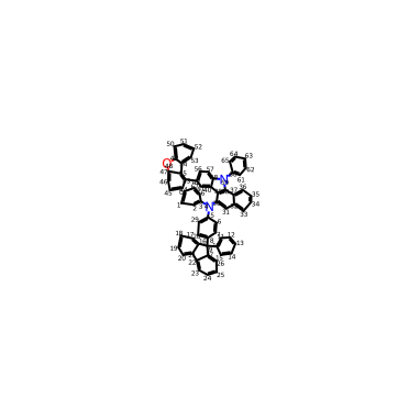 c1ccc(N(c2ccc(C3(c4ccccc4)c4ccccc4-c4ccccc43)cc2)c2cc3ccccc3c3c2c2cc(-c4cccc5oc6ccccc6c45)ccc2n3-c2ccccc2)cc1